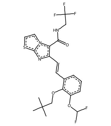 CC(C)(C)COc1c(C=Cc2nc3sccn3c2C(=O)NCC(F)(F)F)cccc1OC(F)F